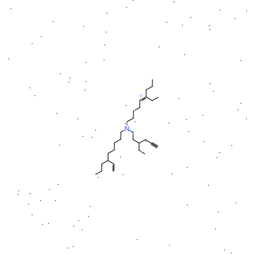 C#CCC(CC)CCN(CCCC/C=C(\CC)CCC)CCCCCC(C=C)CCC